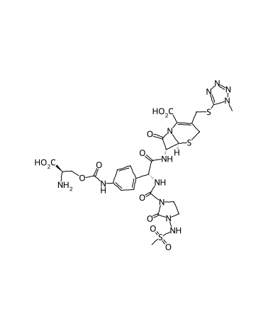 Cn1nnnc1SCC1=C(C(=O)O)N2C(=O)[C@@H](NC(=O)[C@H](NC(=O)N3CCN(NS(C)(=O)=O)C3=O)c3ccc(NC(=O)OC[C@@H](N)C(=O)O)cc3)[C@@H]2SC1